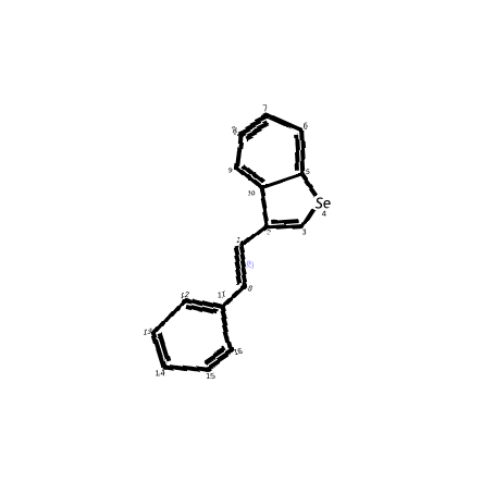 C(=C\c1c[se]c2ccccc12)/c1ccccc1